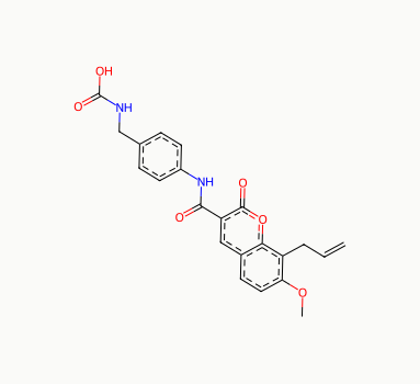 C=CCc1c(OC)ccc2cc(C(=O)Nc3ccc(CNC(=O)O)cc3)c(=O)oc12